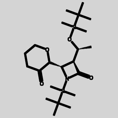 C[C@@H](O[Si](C)(C)C(C)(C)C)[C@H]1C(=O)N([Si](C)(C)C(C)(C)C)[C@@H]1C1OCCCC1=O